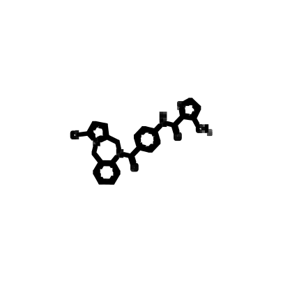 Cc1ccsc1C(=O)Nc1ccc(C(=O)N2Cc3ccc(Cl)n3Cc3ccccc32)cc1